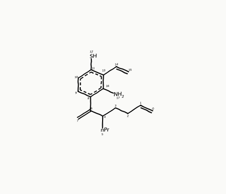 C=CCCC(CCC)C(=C)c1ccc(S)c(C=C)c1N